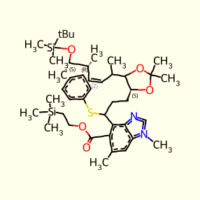 Cc1cc2c(ncn2C)c(C(CC[C@@H]2OC(C)(C)OC2C(C)/C=C\[C@@H](C)[C@H](C)O[Si](C)(C)C(C)(C)C)Sc2ccccc2)c1C(=O)OCC[Si](C)(C)C